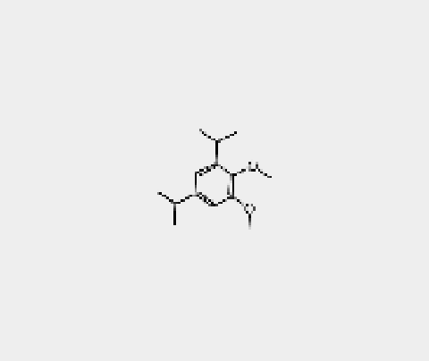 COc1cc(C(C)C)cc(C(C)C)c1OC